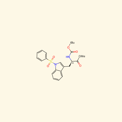 COC(=O)[C@@H](Cc1cn(S(=O)(=O)c2ccccc2)c2ccccc12)NC(=O)OC(C)(C)C